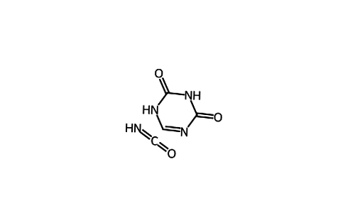 N=C=O.O=c1nc[nH]c(=O)[nH]1